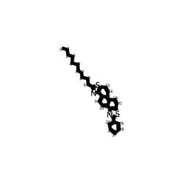 CCCCCCCCCCCc1nc2c(ccc3c4ccc5sc(-c6ccccc6)nc5c4ccc32)s1